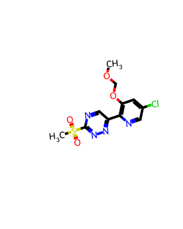 COCOc1cc(Cl)cnc1-c1cnc(S(C)(=O)=O)nn1